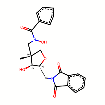 C[C@@]1(CN(O)C(=O)c2ccccc2)CO[C@H](CN2C(=O)c3ccccc3C2=O)[C@H]1O